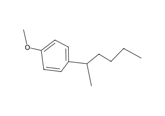 CCCCC(C)c1ccc(OC)cc1